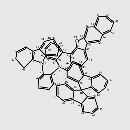 C1=Cc2c(n(-c3ccccc3N(c3ccc4c(c3)C3(c5ccccc5-c5ccccc53)c3ccccc3-4)c3ccccc3-c3cccc4c3oc3cc5ccccc5cc34)c3ccccc23)CC1